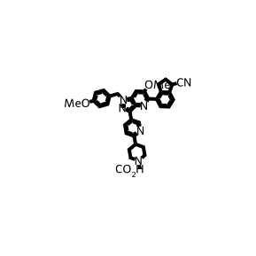 COc1ccc(Cn2nc(-c3ccc(C4CCN(C(=O)O)CC4)nc3)c3nc(-c4cccc5c4CCC5C#N)c(OC)cc32)cc1